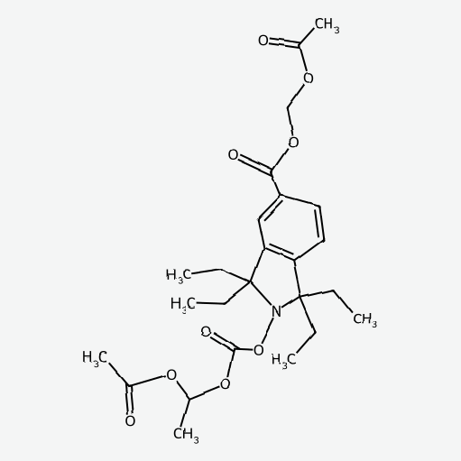 CCC1(CC)c2ccc(C(=O)OCOC(C)=O)cc2C(CC)(CC)N1OC(=O)OC(C)OC(C)=O